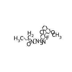 C=C(CCC)C(=O)N1CCN(c2snc3c(F)c(-c4cc(OC)cc5ccccc45)c(Cl)cc23)CC1